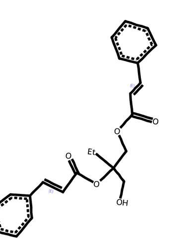 CCC(CO)(COC(=O)/C=C/c1ccccc1)OC(=O)/C=C/c1ccccc1